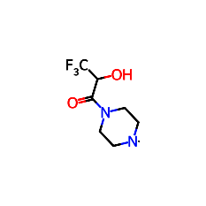 O=C(C(O)C(F)(F)F)N1CC[N]CC1